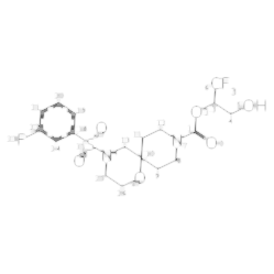 O=C(OC(CO)C(F)(F)F)N1CCC2(CC1)CN(S(=O)(=O)c1cccc(F)c1)CCO2